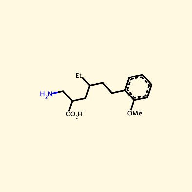 CCC(CCc1ccccc1OC)CC(CN)C(=O)O